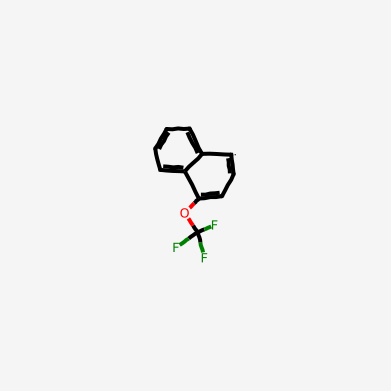 FC(F)(F)Oc1cc[c]c2ccccc12